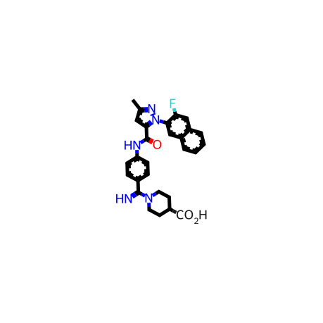 Cc1cc(C(=O)Nc2ccc(C(=N)N3CCC(C(=O)O)CC3)cc2)n(-c2cc3ccccc3cc2F)n1